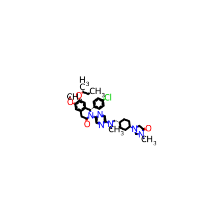 CC[C@@H](C)Oc1cc2c(cc1OC)CC(=O)N(c1cnc(N(C)C[C@H]3CC[C@H](N4CC(=O)N(C)C4)CC3)cn1)[C@H]2c1ccc(Cl)cc1